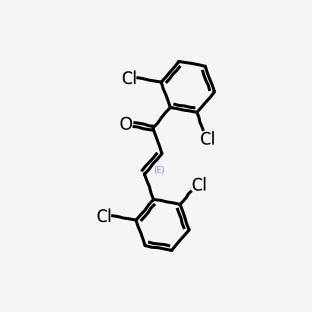 O=C(/C=C/c1c(Cl)cccc1Cl)c1c(Cl)cccc1Cl